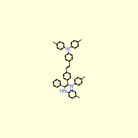 Cc1ccc(NC(=C(Nc2ccc(C)cc2)c2ccc(C=Cc3ccc(N(c4ccc(C)cc4)c4ccc(C)cc4)cc3)cc2)c2ccccc2)cc1